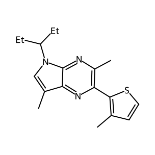 CCC(CC)n1cc(C)c2nc(-c3sccc3C)c(C)nc21